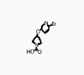 O=C(O)N1CCC(Oc2ccc(Br)nc2)CC1